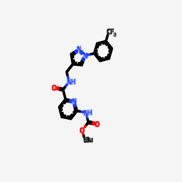 CC(C)(C)OC(=O)Nc1cccc(C(=O)NCc2cnn(-c3cccc(C(F)(F)F)c3)c2)n1